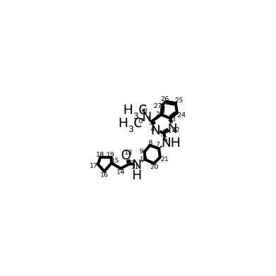 CN(C)c1nc(N[C@H]2CC[C@@H](NC(=O)CC3CCCC3)CC2)nc2ccccc12